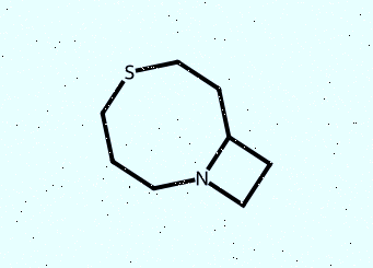 C1CSCCC2CCN2C1